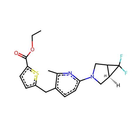 CCOC(=O)c1ccc(Cc2ccc(N3CC4[C@H](C3)C4(F)F)nc2C)s1